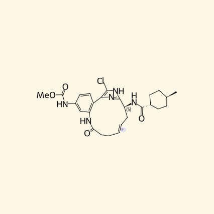 COC(=O)Nc1ccc2c(c1)NC(=O)CC/C=C/C[C@H](NC(=O)[C@H]1CC[C@H](C)CC1)c1nc-2c(Cl)[nH]1